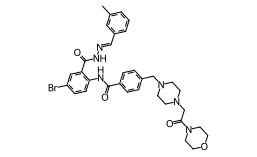 Cc1cccc(C=NNC(=O)c2cc(Br)ccc2NC(=O)c2ccc(CN3CCN(CC(=O)N4CCOCC4)CC3)cc2)c1